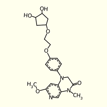 COc1cc2c(cn1)N(C)C(=O)CN2c1ccc(OCCOC2CC(O)C(O)C2)cc1